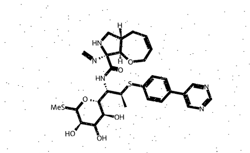 C=N[C@]1(C(=O)N[C@@H]([C@H]2OC(SC)[C@H](O)C(O)[C@@H]2O)[C@H](C)Sc2ccc(-c3cncnc3)cc2)NC[C@@H]2CC=CCO[C@H]21